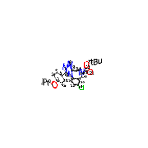 CC(C)OC1CCC(c2nnc3n2-c2ccc(Cl)cc2CN(C(=O)OC(C)(C)C)C3)CC1